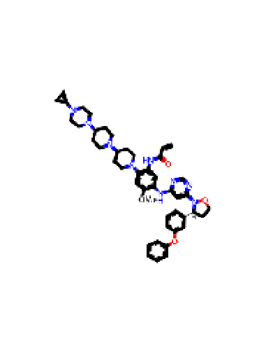 C=CC(=O)Nc1cc(Nc2cc(N3OCC[C@@H]3c3cccc(Oc4ccccc4)c3)ncn2)c(OC)cc1N1CCC(N2CCC(N3CCN(C4CC4)CC3)CC2)CC1